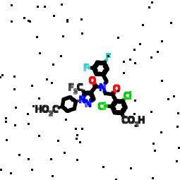 O=C(O)c1cc(Cl)c(C(=O)CN(Cc2cc(F)cc(F)c2)C(=O)c2cnn([C@H]3CC[C@H](C(=O)O)CC3)c2C(F)(F)F)c(Cl)c1